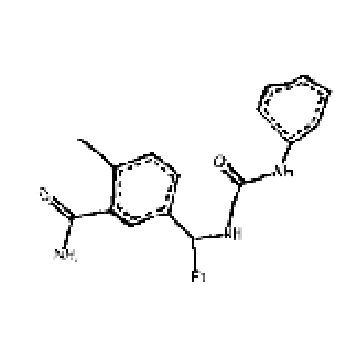 CCC(NC(=O)Nc1ccccc1)c1ccc(C)c(C(N)=O)c1